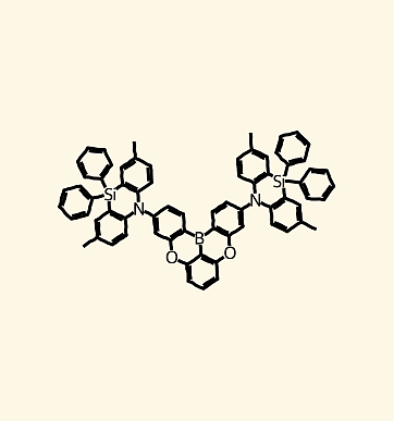 Cc1ccc2c(c1)[Si](c1ccccc1)(c1ccccc1)c1cc(C)ccc1N2c1ccc2c(c1)Oc1cccc3c1B2c1ccc(N2c4ccc(C)cc4[Si](c4ccccc4)(c4ccccc4)c4cc(C)ccc42)cc1O3